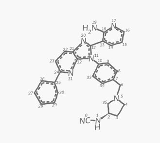 N#CN[C@@H]1CCN(Cc2ccc(-n3c(-c4cccnc4N)nc4ccc(-c5ccccc5)nc43)cc2)C1